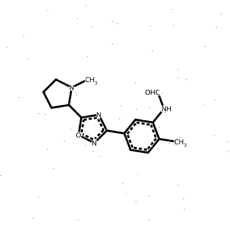 Cc1ccc(-c2noc(C3CCCN3C)n2)cc1NC=O